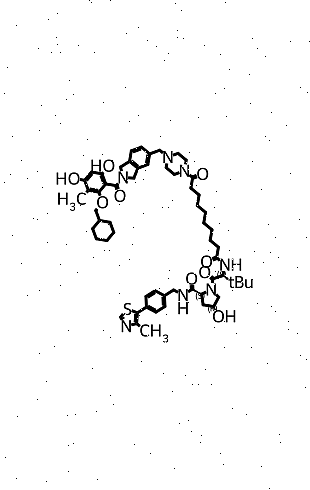 Cc1ncsc1-c1ccc(CNC(=O)[C@@H]2C[C@@H](O)CN2C(=O)[C@@H](NC(=O)CCCCCCCCC(=O)N2CCN(Cc3ccc4c(c3)CN(C(=O)c3c(O)cc(O)c(C)c3OCC3CCCCC3)C4)CC2)C(C)(C)C)cc1